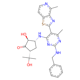 Cc1nc(NCc2ccccc2)nc(N[C@@H]2C[C@H](C(C)(C)O)C(=O)[C@H]2O)c1-c1nc2c(C)nccc2s1